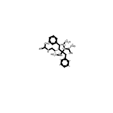 CC(C)C(C=O)NCC[C@H](Cc1ccccc1)C(Cc1ccccc1)(NC(=O)O)N(NC(=O)O)[C@H](C=O)C(C)C